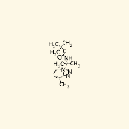 Cc1cccn2c(C(C)(C)NC(=O)OC(C)(C)C)nnc12